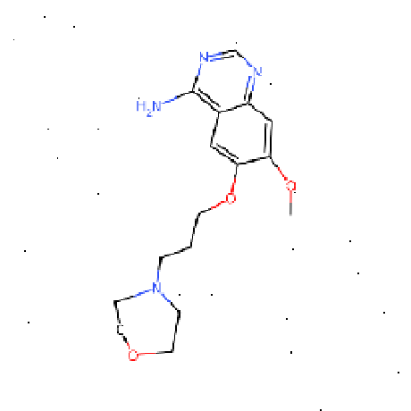 COc1cc2ncnc(N)c2cc1OCCCN1CCOCC1